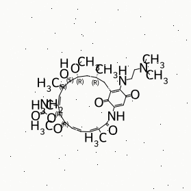 CO[C@@H]1C=CC=C(C)C(=O)NC2=CC(=O)C(NCCN(C)C)=C(C[C@@H](C)C[C@@H](OC)[C@@H](O)[C@H](C)C=C(C)[C@H]1OC(N)=O)C2=O